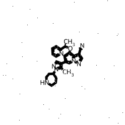 Cc1c(-c2cc(O[C@H](C)c3ccccn3)c3c(C#N)cnn3c2)cnn1C1CCCNCC1